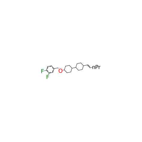 CCC/C=C/C1CCC(C2CCC(OCc3ccc(F)c(F)c3)CC2)CC1